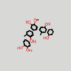 COc1ccccc1O.Cc1ccc(O)cc1.Cc1ccccc1O.Oc1ccccc1.Oc1ccccc1O